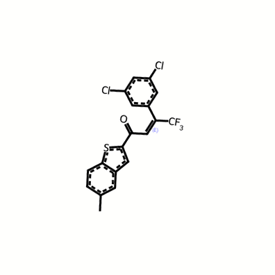 Cc1ccc2sc(C(=O)/C=C(\c3cc(Cl)cc(Cl)c3)C(F)(F)F)cc2c1